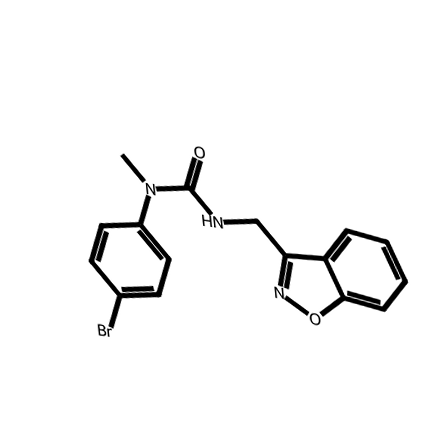 CN(C(=O)NCc1noc2ccccc12)c1ccc(Br)cc1